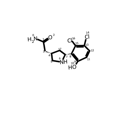 NC(=O)C[C@H]1CN[C@@H](c2c(O)ccc(Cl)c2Cl)C1